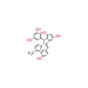 Cc1ccc([C@H]2/C(=C\c3ccc(O)cc3)c3cc(O)cc(O)c3[C@@H]2c2cc(O)cc(O)c2)cc1